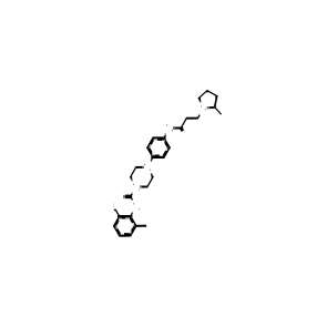 Cc1cccc(Cl)c1NC(=O)N1CCN(c2ccc(NC(=O)CCN3CCCC3C)cc2)CC1